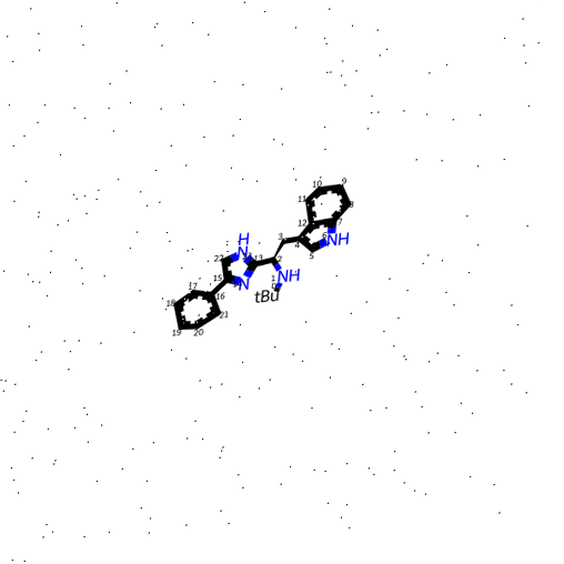 CC(C)(C)N[C@H](Cc1c[nH]c2ccccc12)c1nc(-c2ccccc2)c[nH]1